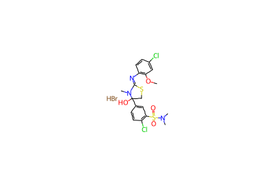 Br.COc1cc(Cl)ccc1N=C1SCC(O)(c2ccc(Cl)c(S(=O)(=O)N(C)C)c2)N1C